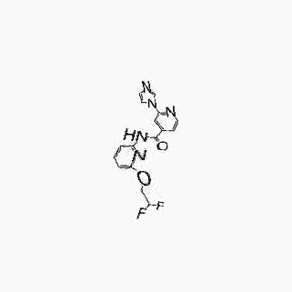 O=C(Nc1cccc(OCC(F)F)n1)c1ccnc(-n2ccnc2)c1